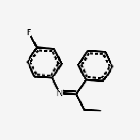 CC/C(=N/c1ccc(F)cc1)c1ccccc1